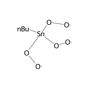 CCC[CH2][Sn]([O][O])([O][O])[O][O]